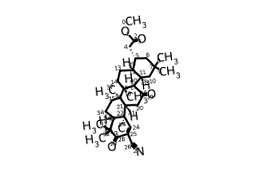 COC(=O)C[C@@H]1CC(C)(C)C[C@H]2[C@@H]1CC[C@]1(C)[C@@H]2C(=O)C[C@@H]2[C@@]3(C)C=C(C#N)C(=O)C(C)(C)[C@@H]3CC[C@]21C